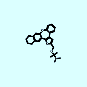 CN(C)C(C)(C)OCc1cc2c(s1)-c1cc3c(cc1Oc1ccccc1-2)CCCC3